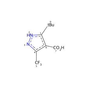 CC(C)(C)c1[nH]nc(C(F)(F)F)c1C(=O)O